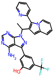 CC(c1cc2ccccn2c1-c1ccccn1)n1nc(-c2cc(O)cc(C(F)(F)F)c2)c2c(N)ncnc21